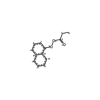 CCC(=O)OOc1cccc2ccccc12